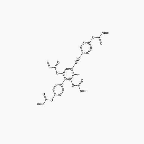 C=CC(=O)Oc1ccc(C#Cc2cc(OC(=O)C=C)c(-c3ccc(OC(=O)C=C)cc3)c(OC(=O)C=C)c2C)cc1